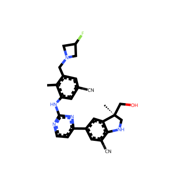 Cc1c(CN2CC(F)C2)cc(C#N)cc1Nc1nccc(-c2cc(C#N)c3c(c2)[C@@](C)(CO)CN3)n1